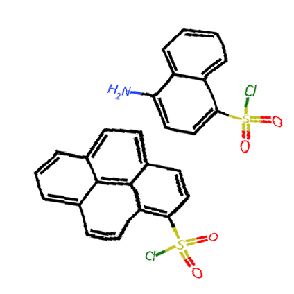 Nc1ccc(S(=O)(=O)Cl)c2ccccc12.O=S(=O)(Cl)c1ccc2ccc3cccc4ccc1c2c34